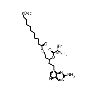 CCCCCCCCCCCCCCCCCCCC(=O)OCCC(CCn1cnc2cnc(N)nc21)OC(=O)[C@@H](N)C(C)C